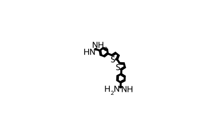 N=C(N)c1ccc(-c2ccc(-c3ccc(-c4ccc(C(=N)N)cc4)s3)s2)cc1